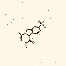 COC(=O)C1c2ccc(S(C)(=O)=O)cc2CN1C(C)=O